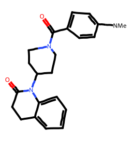 CNc1ccc(C(=O)N2CCC(N3C(=O)CCc4ccccc43)CC2)cc1